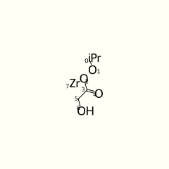 CC(C)OOC(=O)CO.[Zr]